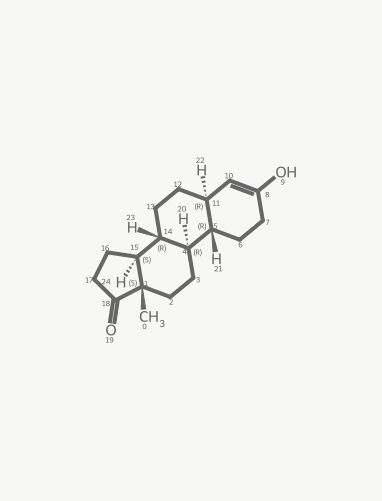 C[C@]12CC[C@@H]3[C@H]4CCC(O)=C[C@@H]4CC[C@H]3[C@@H]1CCC2=O